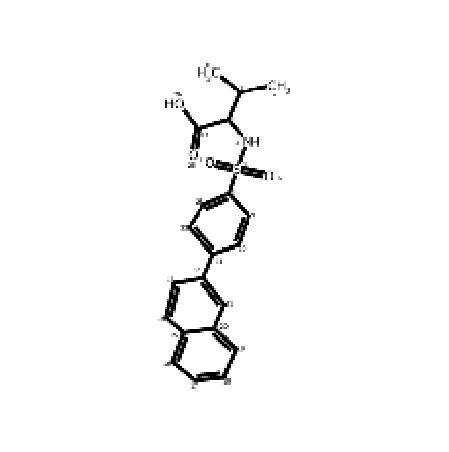 CC(C)C(NS(=O)(=O)c1ccc(-c2ccc3ccccc3c2)cc1)C(=O)O